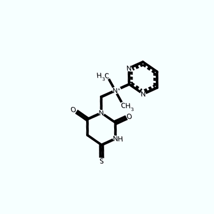 C[N+](C)(CN1C(=O)CC(=S)NC1=O)c1ncccn1